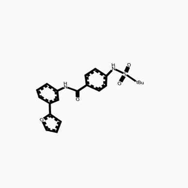 CC(C)(C)S(=O)(=O)Nc1ccc(C(=O)Nc2cccc(-c3ccco3)c2)cc1